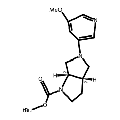 COc1cncc(N2C[C@@H]3CCN(C(=O)OC(C)(C)C)[C@@H]3C2)c1